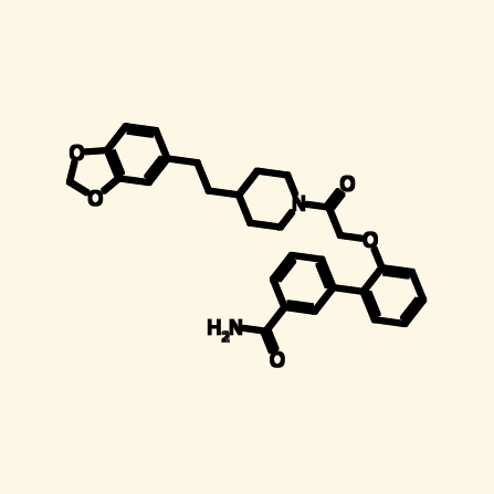 NC(=O)c1cccc(-c2ccccc2OCC(=O)N2CCC(CCc3ccc4c(c3)OCO4)CC2)c1